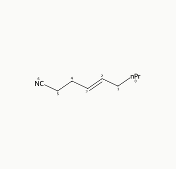 [CH2]CCCC=CCCC#N